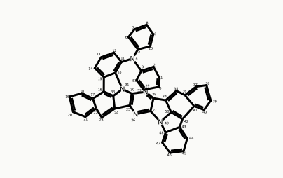 c1ccc(N(c2ccccc2)c2cccc3c4c5ccccc5cc5c6nc7c(nc6n(c23)c54)c2cc3ccccc3c3c4ccccc4n7c23)cc1